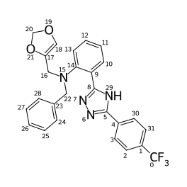 FC(F)(F)c1ccc(-c2nnc(-c3ccccc3N(CC3=COCO3)Cc3ccccc3)[nH]2)cc1